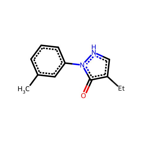 CCc1c[nH]n(-c2cccc(C)c2)c1=O